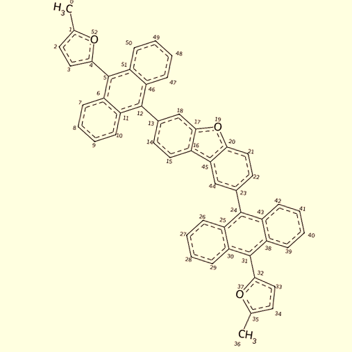 Cc1ccc(-c2c3ccccc3c(-c3ccc4c(c3)oc3ccc(-c5c6ccccc6c(-c6ccc(C)o6)c6ccccc56)cc34)c3ccccc23)o1